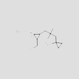 CCOC(=O)[C@@H]1C(CC(C)(C)C)C1CC(C)(C)CC1(C#N)CC1